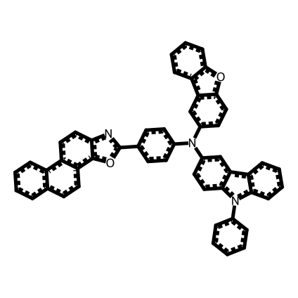 c1ccc(-n2c3ccccc3c3cc(N(c4ccc(-c5nc6ccc7c8ccccc8ccc7c6o5)cc4)c4ccc5oc6ccccc6c5c4)ccc32)cc1